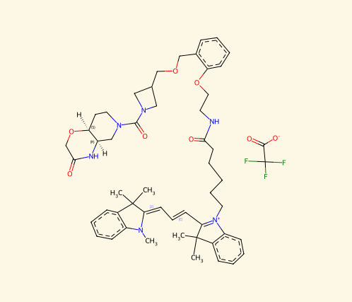 CN1/C(=C\C=C\C2=[N+](CCCCCC(=O)NCCOc3ccccc3COCC3CN(C(=O)N4CC[C@@H]5OCC(=O)N[C@@H]5C4)C3)c3ccccc3C2(C)C)C(C)(C)c2ccccc21.O=C([O-])C(F)(F)F